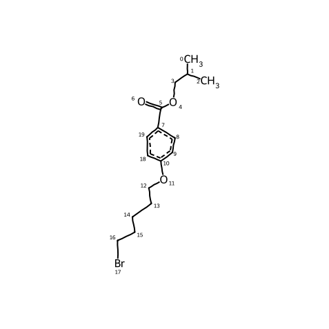 CC(C)COC(=O)c1ccc(OCCCCCBr)cc1